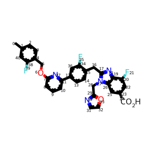 Cc1ccc(COc2cccc(-c3ccc(Cc4nc5c(F)cc(C(=O)O)cc5n4Cc4ncco4)c(F)c3)n2)c(F)c1